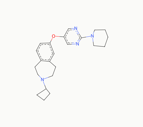 c1cc2c(cc1Oc1cnc(N3CCCCC3)nc1)CCN(C1CCC1)CC2